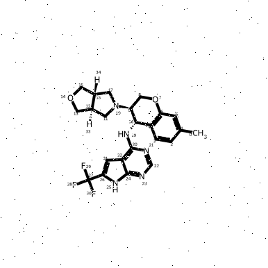 Cc1ccc2c(c1)OC[C@H](N1C[C@H]3COC[C@@H]3C1)[C@H]2Nc1ncnc2[nH]c(C(F)(F)F)cc12